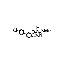 CSc1ncc(Cc2ccc(-c3ccc(Cl)cc3)cc2)c(=O)[nH]1